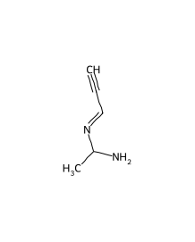 C#C/C=N/C(C)N